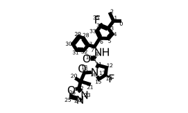 CC(C)c1ccc([C@@H](NC(=O)[C@@H]2C[C@@H](F)CN2C(=O)C(C)(C)c2nnco2)c2ccccc2)cc1F